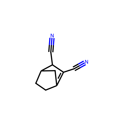 N#CC1=C2CCC(C2)C1C#N